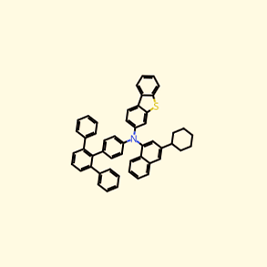 c1ccc(-c2cccc(-c3ccccc3)c2-c2ccc(N(c3ccc4c(c3)sc3ccccc34)c3cc(C4CCCCC4)cc4ccccc34)cc2)cc1